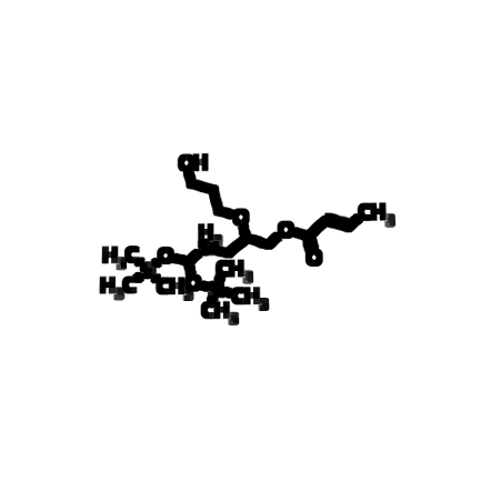 CC=CC(=O)OCC(C[SiH2]C(O[Si](C)(C)C)O[Si](C)(C)C)OCCCO